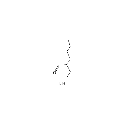 CCCCC(C=O)CC.[LiH]